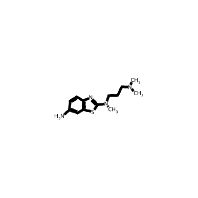 CN(C)CCCN(C)c1nc2ccc(N)cc2s1